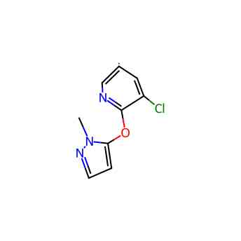 Cn1nccc1Oc1nc[c]cc1Cl